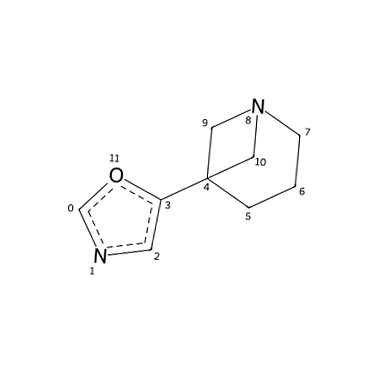 c1ncc(C23CCCN(C2)C3)o1